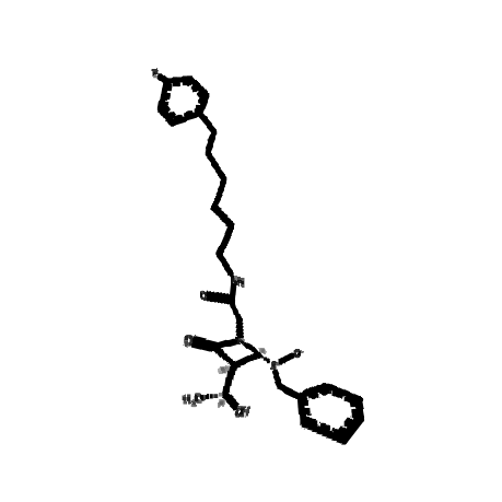 C[C@@H](O)[C@H]1C(=O)N(CC(=O)NCCCCCCc2ccc(F)cc2)[C@@H]1[S+]([O-])Cc1ccccc1